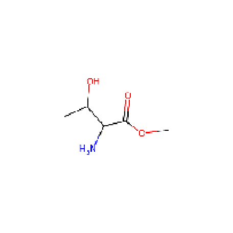 COC(=O)C(N)C(C)O